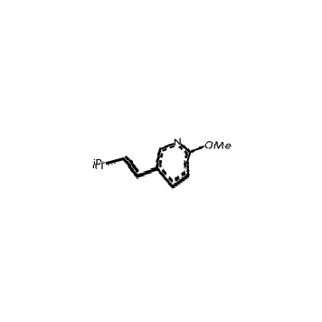 COc1ccc(/C=C/C(C)C)cn1